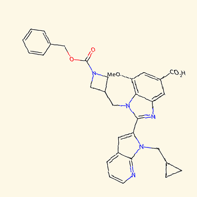 COc1cc(C(=O)O)cc2nc(-c3cc4cccnc4n3CC3CC3)n(CC3CN(C(=O)OCc4ccccc4)C3)c12